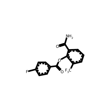 NC(=O)c1cccc(C(F)(F)F)c1OC(=O)c1ccc(F)cc1